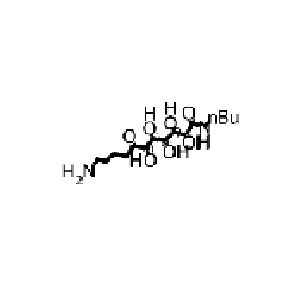 CCCCNC(=O)C(O)[C@@H](O)[C@@H](O)[C@H](O)[C@@H](O)C(=O)CCCCN